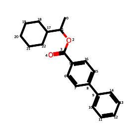 CC(OC(=O)c1ccc(-c2ccccc2)cc1)C1CCCCC1